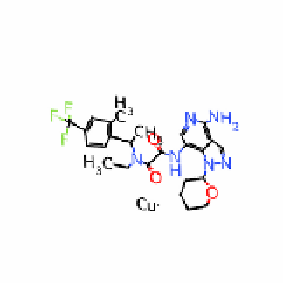 CCN(C(=O)C(=O)Nc1cnc(N)c2cnn(C3CCCCO3)c12)C(C)c1ccc(C(F)(F)F)cc1C.[Cu]